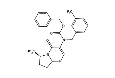 O=C(O)[C@@H]1CCc2ncc(N(Cc3cccc(C(F)(F)F)c3)C(=O)OCc3ccccc3)c(=O)n21